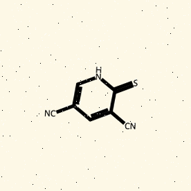 N#Cc1c[nH]c(=S)c(C#N)c1